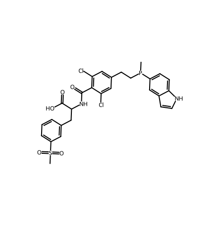 CP(CCc1cc(Cl)c(C(=O)NC(Cc2cccc(S(C)(=O)=O)c2)C(=O)O)c(Cl)c1)c1ccc2[nH]ccc2c1